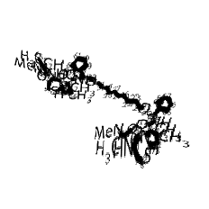 CN[C@@H](C)C(=O)N[C@H]1CCS[C@H]2CC(C)(C)[C@@H](C(=O)N[C@H](COCCCCCCCCCCOC[C@@H](NC(=O)[C@H]3N4C(=O)[C@@H](NC(=O)C(C)(C)NC)CCS[C@@H]4CC3(C)C)c3ccccc3)c3ccccc3)N2C1=O